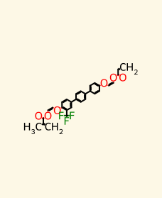 C=CC(=O)O/C=C\Oc1ccc(-c2ccc(-c3ccc(O/C=C\OC(=O)C(=C)C)c(C(F)(F)F)c3)cc2)cc1